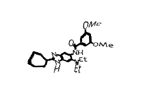 CCN(CC)c1cc2[nH]c(C3CCCCC3)nc2cc1NC(=O)c1cc(OC)cc(OC)c1